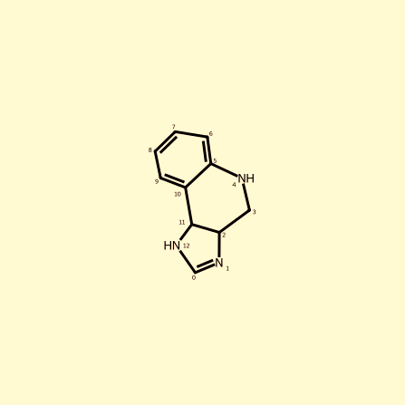 C1=NC2CNc3ccccc3C2N1